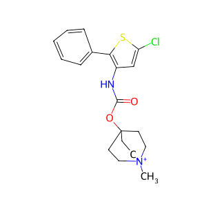 C[N+]12CCC(OC(=O)Nc3cc(Cl)sc3-c3ccccc3)(CC1)CC2